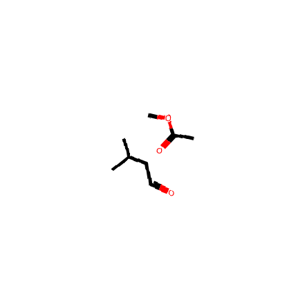 CC(C)CC=O.COC(C)=O